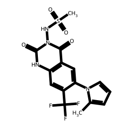 Cc1cccn1-c1cc2c(=O)n(NS(C)(=O)=O)c(=O)[nH]c2cc1C(F)(F)F